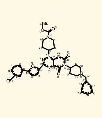 CC(C)(C)OC(=O)N1CCC(n2nc(-c3ccc(-c4cccc(Cl)c4)o3)nc3c(=O)n(C4CCN(Cc5ccccc5)CC4)c(=O)nc2-3)CC1